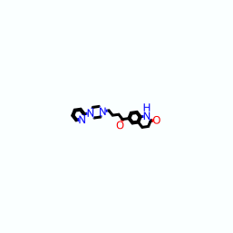 O=C1CCc2cc(C(=O)CCCN3CCN(c4ccccn4)CC3)ccc2N1